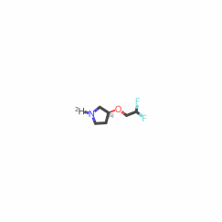 [2H]N1CC[C@H](OCC(F)F)C1